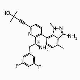 Cc1ccc(-c2ccc(C#CC(C)(C)O)nc2[C@@H](N)Cc2cc(F)cc(F)c2)c2c1c(N)nn2C